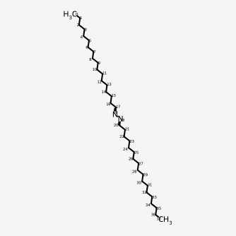 CCCCCCCCCCCCCCCCCC=NN=CCCCCCCCCCCCCCCCCC